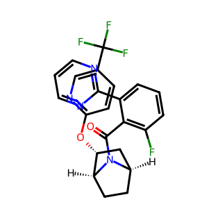 O=C(c1c(F)cccc1-c1ncccn1)N1[C@@H]2CC[C@H]1[C@H](Oc1ccc(C(F)(F)F)cn1)C2